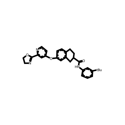 CC(C)(C)c1cccc(NC(=O)C2CCc3ccc(Oc4ccnc(C5=NCCO5)c4)cc3C2)c1